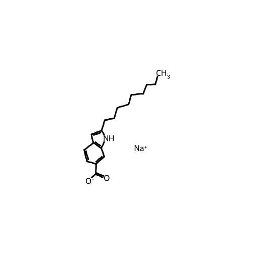 CCCCCCCCCc1cc2ccc(C(=O)[O-])cc2[nH]1.[Na+]